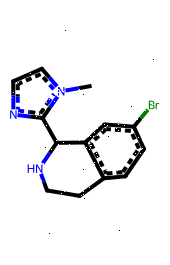 Cn1ccnc1C1NCCc2ccc(Br)cc21